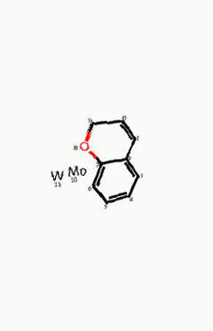 C1=Cc2ccccc2OC1.[Mo].[W]